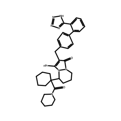 CCCc1c(Cc2ccc(-c3ccccc3-c3nnn[nH]3)cc2)c(=O)n2n1C(C1(C(=O)N3CCCCC3)CCCCC1)CCC2